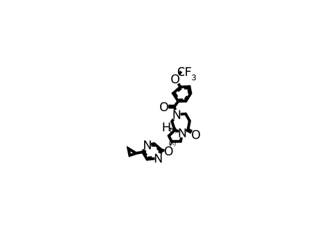 O=C(c1cccc(OC(F)(F)F)c1)N1CCC(=O)N2C[C@H](Oc3cnc(C4CC4)cn3)C[C@H]2C1